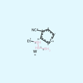 BBBCC.N#Cc1ccccc1.[W]